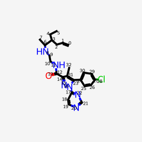 C=CCC(CC)C(C)NCCNC(=O)c1nn(-c2ccncn2)c(-c2ccc(Cl)cc2)c1C